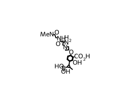 CNC(=O)CNC(=O)[C@@](C)(N)CN1CC(Oc2ccc(C3C(C)C3B(O)O)c(O)c2C(=O)O)C1